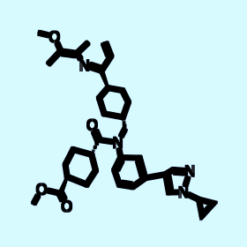 C=C/C(=N\C(C)=C(/C)OC)[C@H]1CC[C@H](CN(c2cccc(-c3cnn(C4CC4)c3)c2)C(=O)[C@H]2CC[C@H](C(=O)OC)CC2)CC1